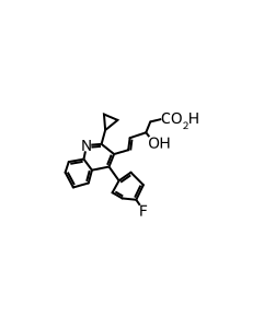 O=C(O)CC(O)/C=C/c1c(C2CC2)nc2ccccc2c1-c1ccc(F)cc1